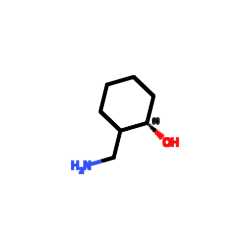 NCC1CCCC[C@@H]1O